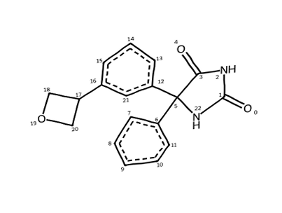 O=C1NC(=O)C(c2ccccc2)(c2cccc(C3COC3)c2)N1